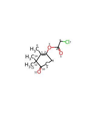 CC1=C(OC(=O)CCl)CCC(=O)C1(C)C